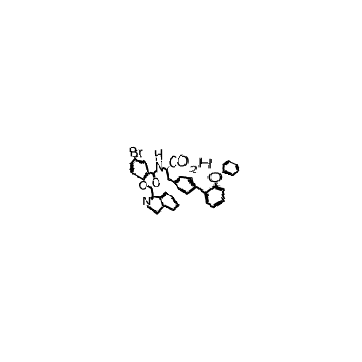 O=C(N[C@@H](Cc1ccc(-c2ccccc2Oc2ccccc2)cc1)C(=O)O)c1cc(Br)ccc1OCc1nccc2ccccc12